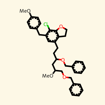 COc1ccc(Cc2cc(CCC(CC(COCc3ccccc3)OC)OCc3ccccc3)c3c(c2Cl)OCC3)cc1